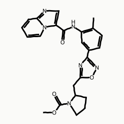 COC(=O)N1CCCC1Cc1nc(-c2ccc(C)c(NC(=O)c3cnc4ccccn34)c2)no1